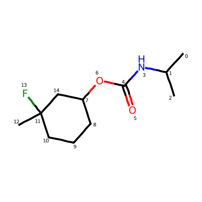 CC(C)NC(=O)OC1CCCC(C)(F)C1